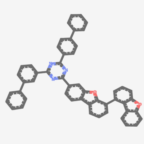 c1ccc(-c2ccc(-c3nc(-c4cccc(-c5ccccc5)c4)nc(-c4ccc5c(c4)oc4c(-c6cccc7oc8ccccc8c67)cccc45)n3)cc2)cc1